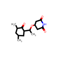 CC1CC(C)C(=O)C(C(C)OC2CC(=O)NC(=O)C2)C1